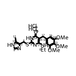 CCNc1nc(SCc2nc[nH]c2C)[nH]c(=O)c1Cc1cc(OC)c(OC)c(OC)c1.Cl.Cl